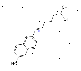 CC(O)CCC/C=C/c1ccc2cc(O)ccc2n1